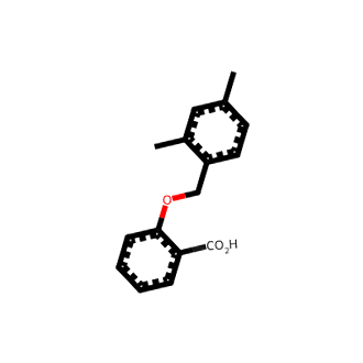 Cc1ccc(COc2ccccc2C(=O)O)c(C)c1